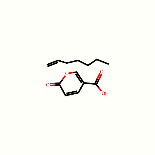 C=CCCCCC.O=C(O)c1ccc(=O)oc1